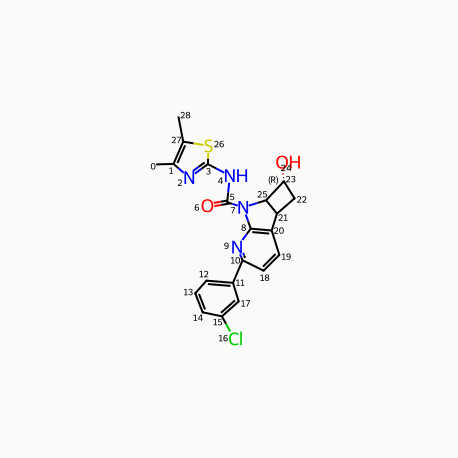 Cc1nc(NC(=O)N2c3nc(-c4cccc(Cl)c4)ccc3C3C[C@@H](O)C32)sc1C